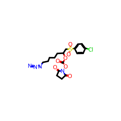 [N-]=[N+]=NCCCCCC(CS(=O)(=O)c1ccc(Cl)cc1)OC(=O)ON1C(=O)CCC1=O